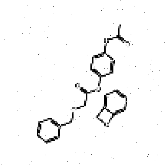 CC(=O)Oc1ccc(OC(=O)COCc2ccccc2)cc1.c1ccc2c(c1)CO2